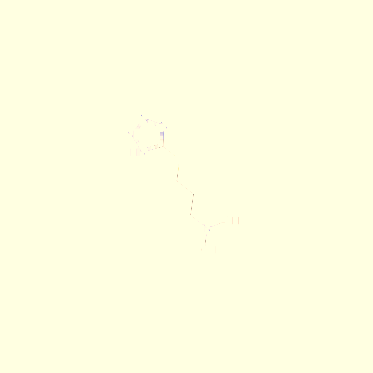 CN(C)CC[CH]Sc1nnn[nH]1